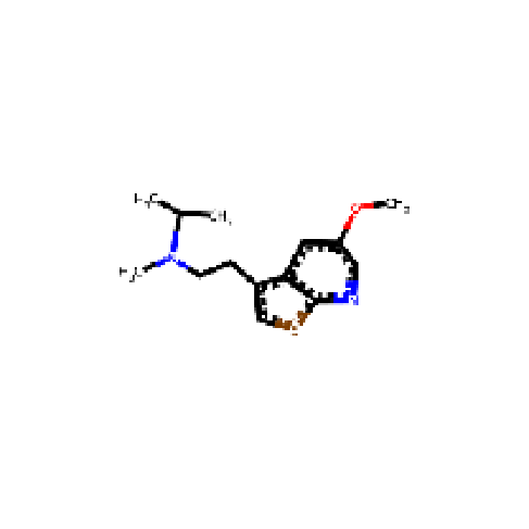 COc1cnc2scc(CCN(C)C(C)C)c2c1